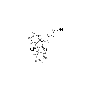 O=C(CCCCO)C(=O)C(Cl)(c1ccccc1)c1ccccc1